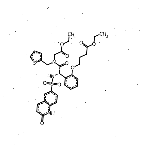 CCOC(=O)CCCOc1ccccc1[C@H](NS(=O)(=O)c1ccc2[nH]c(=O)ccc2c1)C(=O)N(CC(=O)OCC)Cc1cccs1